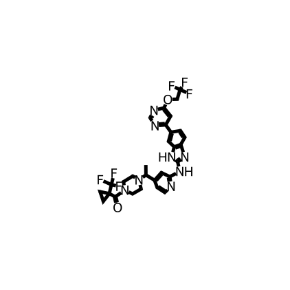 CC(c1ccnc(Nc2nc3ccc(-c4cc(OCC(F)(F)F)ncn4)cc3[nH]2)c1)N1CCN(C(=O)C2(C(F)(F)F)CC2)CC1